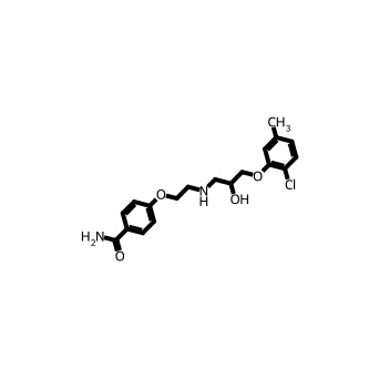 Cc1ccc(Cl)c(OCC(O)CNCCOc2ccc(C(N)=O)cc2)c1